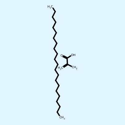 C=C(C)C(=O)O.CCCCCCCCCCCCCCCCCCCCCC